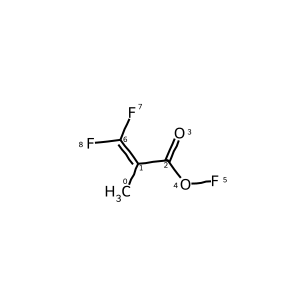 CC(C(=O)OF)=C(F)F